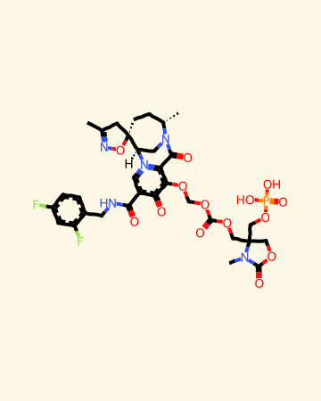 CC1=NO[C@@]2(CC[C@H](C)N3C[C@H]2n2cc(C(=O)NCc4ccc(F)cc4F)c(=O)c(OCOC(=O)OCC4(COP(=O)(O)O)COC(=O)N4C)c2C3=O)C1